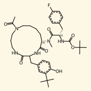 CC(=O)N1CCCC[C@H](N(C)C(=O)[C@H](Cc2ccc(F)cc2)NC(=O)OC(C)(C)C)C(=O)NC(Cc2ccc(O)c(C(C)(C)C)c2)C(=O)NCCC1